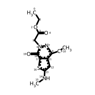 CCOC(=O)Cn1nc(CC)c2cc(NC)sc2c1=O